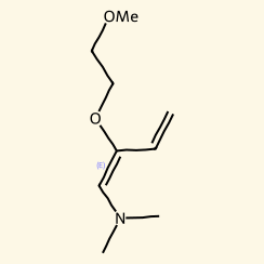 C=C/C(=C\N(C)C)OCCOC